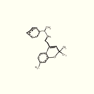 Cc1ccc2c(c1)OC(C)(C)C=C2CNC(C)c1ccccc1